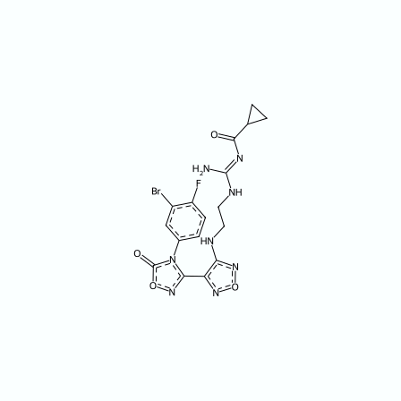 N/C(=N\C(=O)C1CC1)NCCNc1nonc1-c1noc(=O)n1-c1ccc(F)c(Br)c1